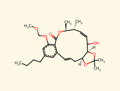 CCCCc1cc2c(c(OCOC)c1)C(=O)O[C@@H](C)[C@H](C)/C=C\C(O)[C@H]1OC(C)(C)O[C@H]1C/C=C/2